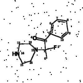 CC(F)(C(=O)c1ccccc1)N1CCNCC1